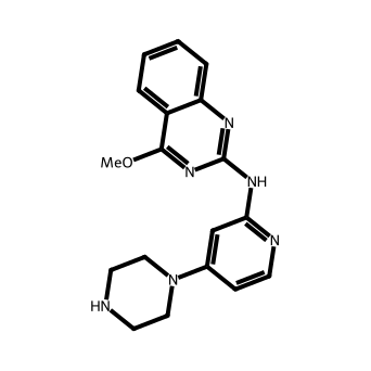 COc1nc(Nc2cc(N3CCNCC3)ccn2)nc2ccccc12